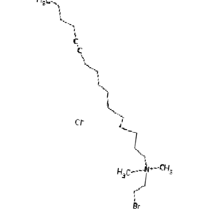 CCCCCCCCCCCCCCCC[N+](C)(C)CCBr.[Cl-]